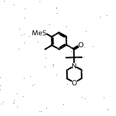 CSc1ccc(C(=O)C(C)(C)N2CCOCC2)cc1C